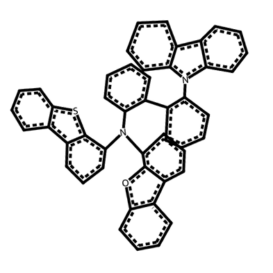 c1ccc(N(c2cccc3c2oc2ccccc23)c2cccc3c2sc2ccccc23)c(-c2ccccc2-n2c3ccccc3c3ccccc32)c1